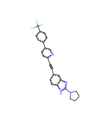 FC(F)(F)c1ccc(-c2ccc(C#Cc3ccc4[nH]c(N5CCCC5)nc4c3)nc2)cc1